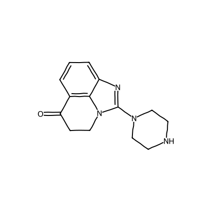 O=C1CCn2c(N3CCNCC3)nc3cccc1c32